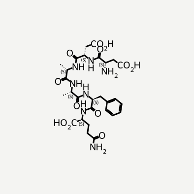 C[C@H](NC(=O)[C@H](C)NC(=O)[C@H](CC(=O)O)NC(=O)[C@@H](N)CC(=O)O)C(=O)N[C@@H](Cc1ccccc1)C(=O)N[C@@H](CCC(N)=O)C(=O)O